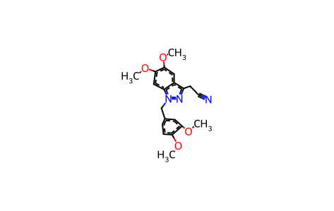 COc1ccc(Cn2nc(CC#N)c3cc(OC)c(OC)cc32)cc1OC